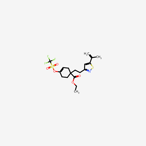 C=C(C)c1cc(CCC2(C(=O)OCC)CC=C(OS(=O)(=O)C(F)(F)F)CC2)ns1